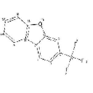 FC(F)(F)c1ccc2c(c1)oc1[c]cccc12